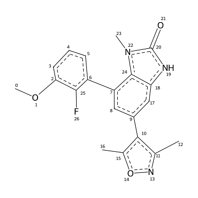 COc1cccc(-c2cc(-c3c(C)noc3C)cc3[nH]c(=O)n(C)c23)c1F